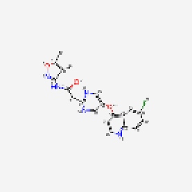 Cc1onc(NC(=O)Cc2ncc(Oc3ccnc4ccc(F)cc34)cn2)c1C